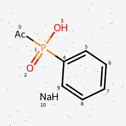 CC(=O)P(=O)(O)c1ccccc1.[NaH]